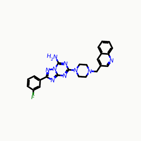 Nc1nc(N2CCN(Cc3cnc4ccccc4c3)CC2)nc2nc(-c3cccc(F)c3)nn12